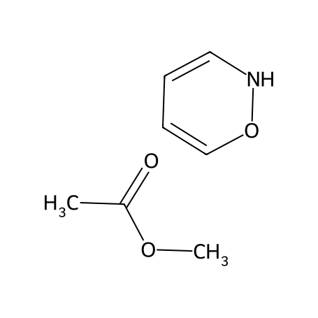 C1=CNOC=C1.COC(C)=O